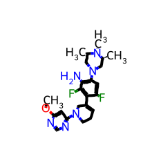 COc1cc(N2CCC=C(c3c(F)cc(N4C[C@@H](C)N(C)[C@@H](C)C4)c(N)c3F)C2)ncn1